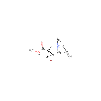 C#CC[N+](C)(C)CC1(C(=O)OC)CC1.[Br-]